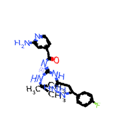 CC(C)(C)N/C(=N/C(=O)c1ccnc(N)c1)NC1CC(c2ccc(F)cc2)NN1